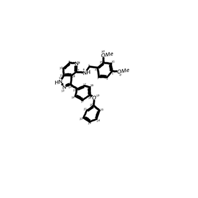 COc1ccc(CNc2nccc3[nH]nc(-c4ccc(Oc5ccccc5)cc4)c23)c(OC)c1